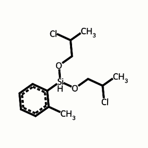 Cc1ccccc1[SiH](OCC(C)Cl)OCC(C)Cl